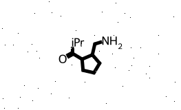 CC(C)C(=O)C1CCCC1CN